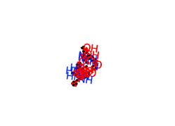 CCNC(=O)c1nnc(-c2cc(C(C)C)c(O)cc2O)n1-c1ccc(CN2CCC(C(=O)N3CCC(C(=O)OC4CCN(CC(=O)N[C@@H](CCc5ccccc5)C(=O)N[C@@H](CC(C)C)C(=O)NC(Cc5ccccc5)C(=O)N[C@@H](CC(C)C)C(=O)[C@@]5(C)CO5)CC4)CC3)CC2)cc1